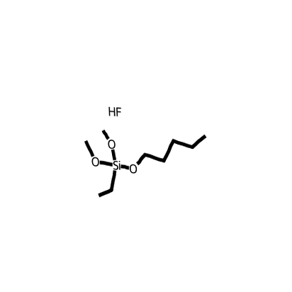 CCCCCO[Si](CC)(OC)OC.F